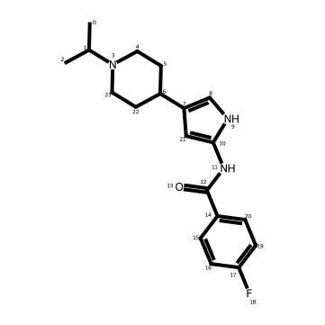 CC(C)N1CCC(c2c[nH]c(NC(=O)c3ccc(F)cc3)c2)CC1